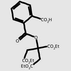 CCOC(=O)CC(CC(=O)OCC)(OC(=O)c1ccccc1C(=O)O)C(=O)OCC